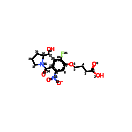 O=C(O)CCCOc1cc([N+](=O)[O-])c(C(=O)N2CCCC2CO)cc1F